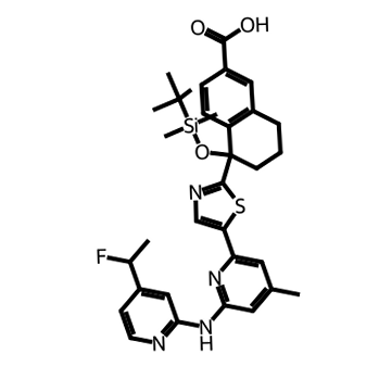 Cc1cc(Nc2cc(C(C)F)ccn2)nc(-c2cnc(C3(O[Si](C)(C)C(C)(C)C)CCCc4cc(C(=O)O)ccc43)s2)c1